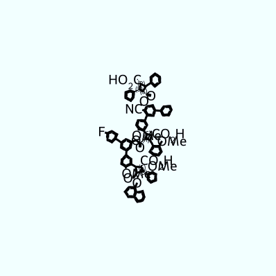 COc1ccc(-c2cc(OC(=O)[C@@H]3C(c4ccccc4OC)C(C(=O)O)[C@@H]3c3cc(-c4cc(-c5ccccc5)cc(OC(=O)[C@H]5C(c6ccccc6)[C@@H](C(=O)O)[C@@H]5c5ccccc5)c4C#N)ccc3OC)cc(-c3ccc(F)cc3)c2)cc1C1C(C(=O)Oc2cccc3ccccc23)[C@@H](c2ccccc2OC)[C@@H]1C(=O)O